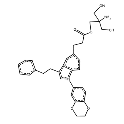 NC(CO)(CO)COC(=O)CCc1ccc2c(c1)c(CCc1ccccc1)cn2-c1ccc2c(c1)OCCO2